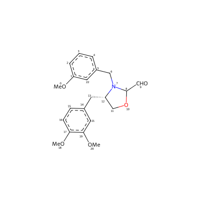 COc1cccc(CN2C(C=O)OC[C@@H]2Cc2ccc(OC)c(OC)c2)c1